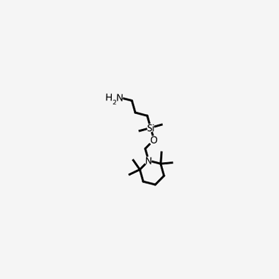 CC1(C)CCCC(C)(C)N1CO[Si](C)(C)CCCN